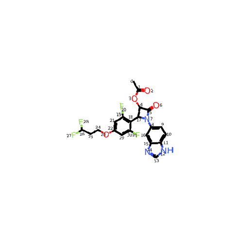 CC(=O)OC1C(=O)N(c2ccc3[nH]cnc3c2)C1c1c(F)cc(OCCC(F)F)cc1F